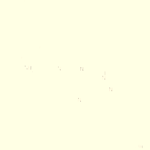 CC(C)(C)c1cccc(-c2n[nH]c3nc(N4CCC5(CC4)Cc4ccccc4C[C@H]5N)cnc23)c1